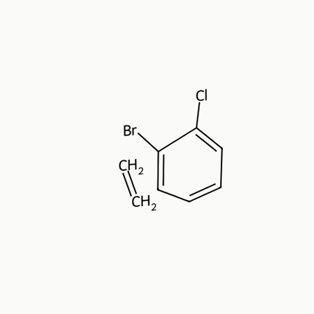 C=C.Clc1ccccc1Br